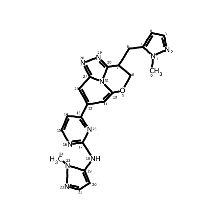 Cn1nccc1CC1COc2cc(-c3ccnc(Nc4ccnn4C)n3)cc3nnc1n23